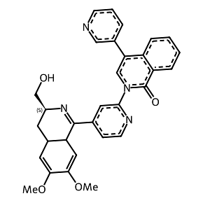 COC1=CC2C[C@@H](CO)N=C(c3ccnc(-n4cc(-c5cccnc5)c5ccccc5c4=O)c3)C2C=C1OC